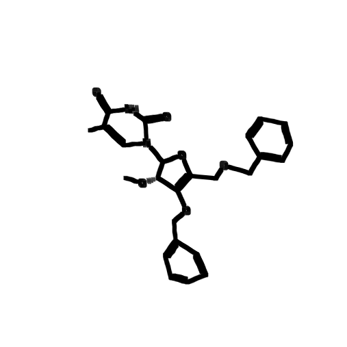 CO[C@H]1C(OCc2ccccc2)=C(COCc2ccccc2)OC1n1cc(C)c(=O)[nH]c1=O